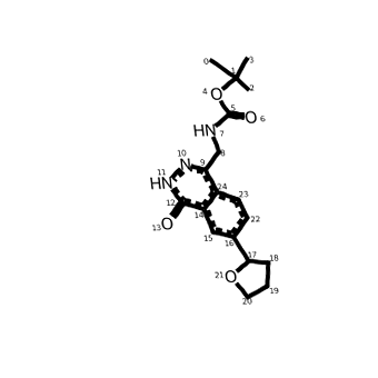 CC(C)(C)OC(=O)NCc1n[nH]c(=O)c2cc(C3CCCO3)ccc12